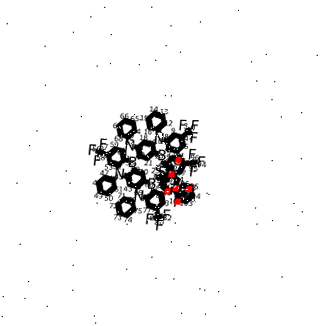 FC(F)(F)c1cc2c3c(c1)N(c1ccccc1)c1cc4c(cc1B3c1sc3ccc(C(F)(F)F)cc3c1O2)B1c2cc3c(cc2N(c2ccccc2)c2cc(C(F)(F)F)cc(c21)N4c1ccccc1)N(c1ccccc1)c1cc(C(F)(F)F)cc2c1B3c1sc3ccc(C(F)(F)F)cc3c1N2c1ccccc1